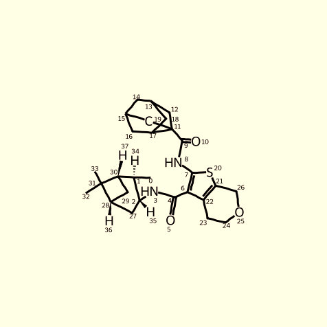 C[C@H]1[C@H](NC(=O)c2c(NC(=O)C34CC5CC(CC3C5)C4)sc3c2CCOC3)C[C@H]2C[C@@H]1C2(C)C